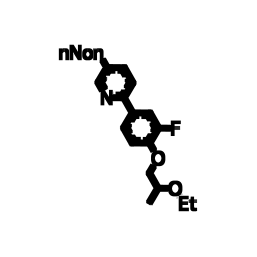 CCCCCCCCCc1ccc(-c2ccc(OCC(C)OCC)c(F)c2)nc1